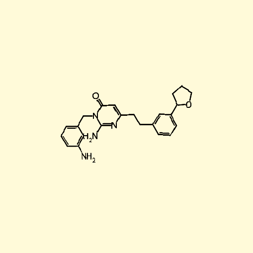 Nc1cccc(Cn2c(N)nc(CCc3cccc(C4CCCO4)c3)cc2=O)c1